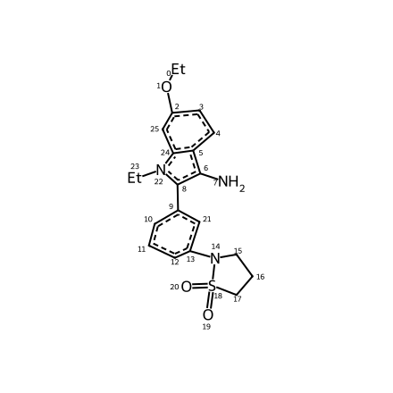 CCOc1ccc2c(N)c(-c3cccc(N4CCCS4(=O)=O)c3)n(CC)c2c1